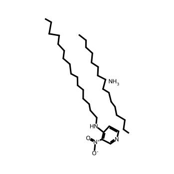 CCCCCCCCCCCCCCCC.CCCCCCCCCCCCCCCCNc1ccncc1[N+](=O)[O-].N